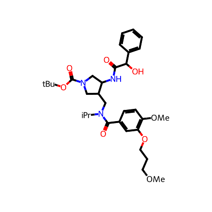 COCCCOc1cc(C(=O)N(CC2CN(C(=O)OC(C)(C)C)CC2NC(=O)C(O)c2ccccc2)C(C)C)ccc1OC